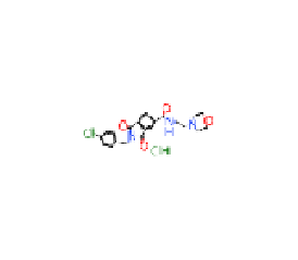 Cl.O=C(NCCN1CCOCC1)c1ccc2c(c1)C(=O)N(Cc1ccc(Cl)cc1)C2=O